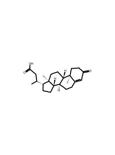 CC(CC(=O)O)[C@H]1CC[C@H]2[C@@H]3CCC4=CC(=O)CC[C@]4(C)[C@H]3CC[C@]12C